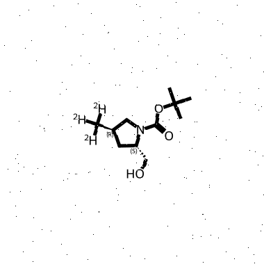 [2H]C([2H])([2H])[C@@H]1C[C@@H](CO)N(C(=O)OC(C)(C)C)C1